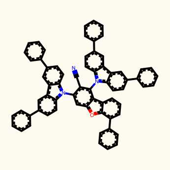 N#Cc1c(-n2c3ccc(-c4ccccc4)cc3c3cc(-c4ccccc4)ccc32)cc2oc3c(-c4ccccc4)cccc3c2c1-n1c2ccc(-c3ccccc3)cc2c2cc(-c3ccccc3)ccc21